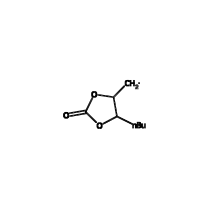 [CH2]C1OC(=O)OC1CCCC